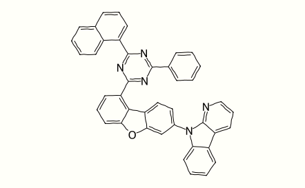 c1ccc(-c2nc(-c3cccc4ccccc34)nc(-c3cccc4oc5cc(-n6c7ccccc7c7cccnc76)ccc5c34)n2)cc1